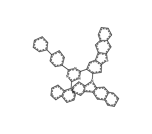 c1ccc(-c2ccc(-c3nc(-c4cc5c(cc4-n4c6ccccc6c6cc7ccccc7cc64)sc4cc6ccccc6cc45)nc(-c4cccc5ccccc45)n3)cc2)cc1